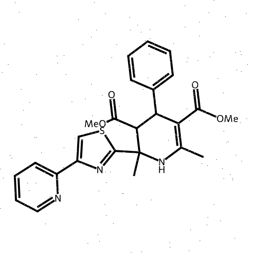 COC(=O)C1=C(C)NC(C)(c2nc(-c3ccccn3)cs2)C(C(=O)OC)C1c1ccccc1